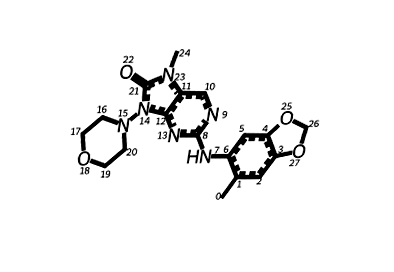 Cc1cc2c(cc1Nc1ncc3c(n1)n(N1CCOCC1)c(=O)n3C)OCO2